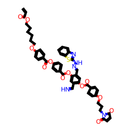 C=CC(=O)OCCCCCCOc1ccc(C(=O)Oc2ccc(C(=O)Oc3cc(C=N)c(OC(=O)c4ccc(OCCCN5C(=O)C=CC5=O)cc4)cc3/C=N/Nc3nc4ccccc4s3)cc2)cc1